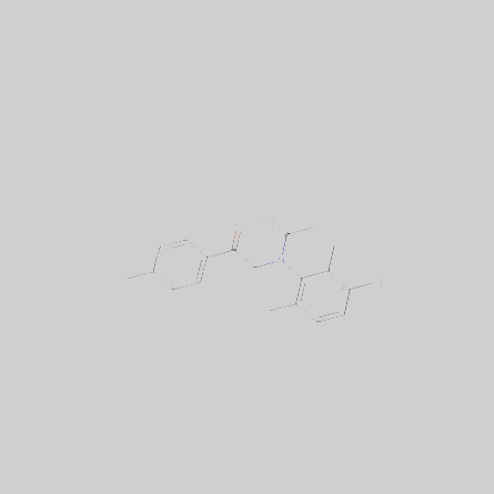 CC(=O)N(CC(=O)c1ccc(Cl)cc1)c1c(C)ccc(Cl)c1C